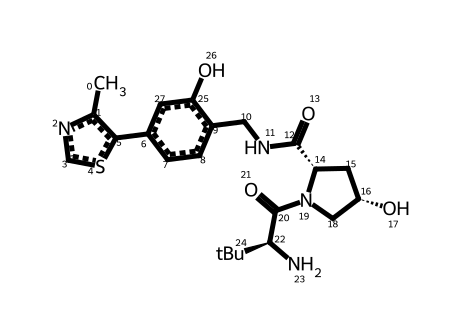 Cc1ncsc1-c1ccc(CNC(=O)[C@@H]2C[C@H](O)CN2C(=O)[C@@H](N)C(C)(C)C)c(O)c1